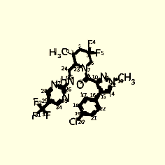 C[C@@H]1CC(F)(F)CN(C(=O)c2nn(C)cc2-c2ccc(Cl)cc2)C1CNc1ncc(C(F)(F)F)cn1